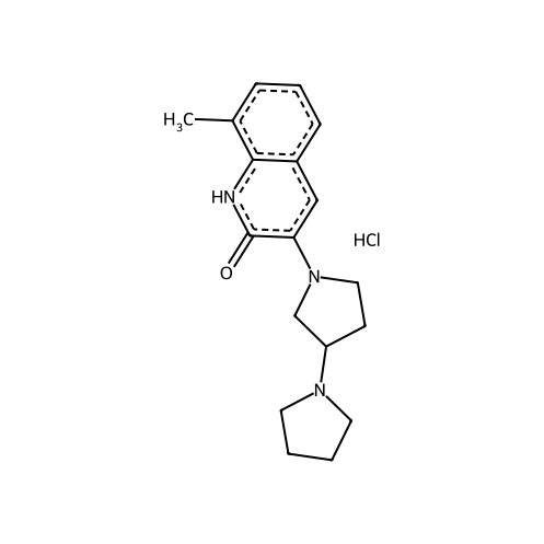 Cc1cccc2cc(N3CCC(N4CCCC4)C3)c(=O)[nH]c12.Cl